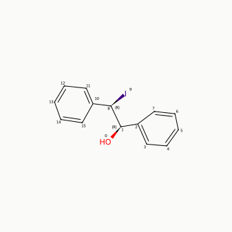 O[C@H](c1ccccc1)[C@H](I)c1ccccc1